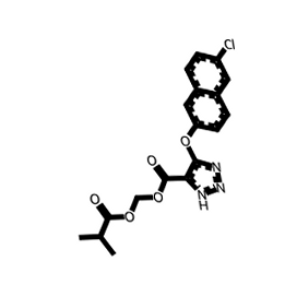 CC(C)C(=O)OCOC(=O)c1[nH]nnc1Oc1ccc2cc(Cl)ccc2c1